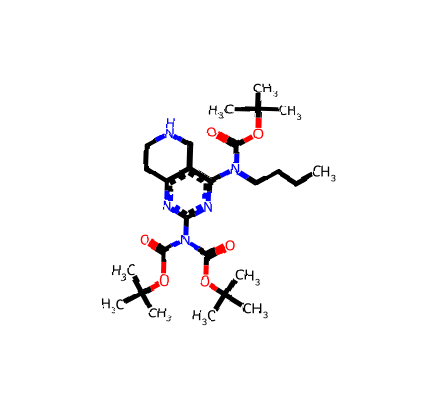 CCCCN(C(=O)OC(C)(C)C)c1nc(N(C(=O)OC(C)(C)C)C(=O)OC(C)(C)C)nc2c1CNCC2